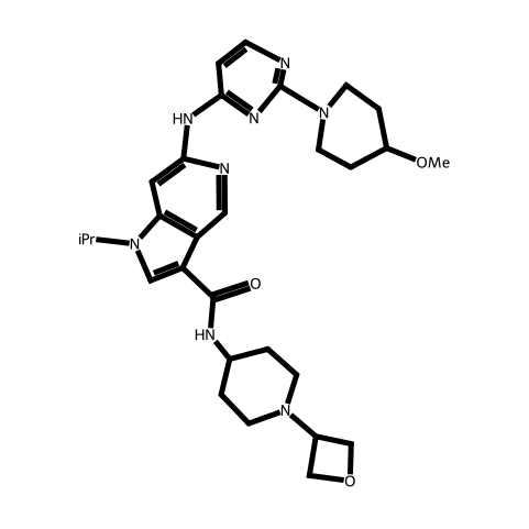 COC1CCN(c2nccc(Nc3cc4c(cn3)c(C(=O)NC3CCN(C5COC5)CC3)cn4C(C)C)n2)CC1